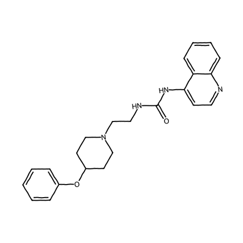 O=C(NCCN1CCC(Oc2ccccc2)CC1)Nc1ccnc2ccccc12